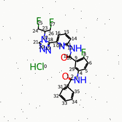 Cl.O=C(Nc1ccc(F)c(C(=O)Nc2cccc(-c3nncn3C(CF)CF)n2)c1)c1ccccc1